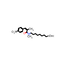 CCCCCCCCCCCCCCCCCCN(C)C(=O)C(C)=Cc1ccc([N+](=O)[O-])cc1